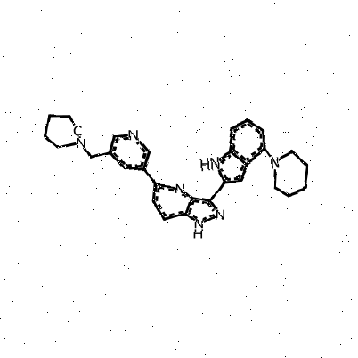 c1cc(N2CCCCC2)c2cc(-c3n[nH]c4ccc(-c5cncc(CN6CCCCC6)c5)nc34)[nH]c2c1